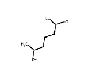 CCC([CH]CCC(C)C(C)C)CC